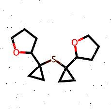 C1COC(C2(SC3(C4CCCO4)CC3)CC2)C1